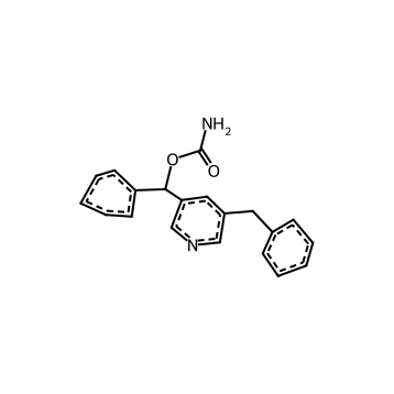 NC(=O)OC(c1ccccc1)c1cncc(Cc2ccccc2)c1